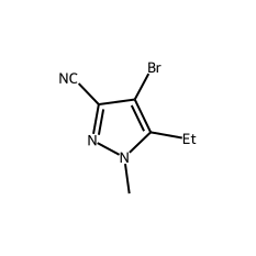 CCc1c(Br)c(C#N)nn1C